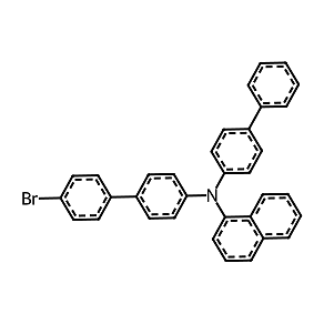 Brc1ccc(-c2ccc(N(c3ccc(-c4ccccc4)cc3)c3cccc4ccccc34)cc2)cc1